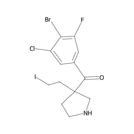 O=C(c1cc(F)c(Br)c(Cl)c1)C1(CCI)CCNC1